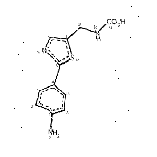 Nc1ccc(-c2ncc(CNC(=O)O)s2)cc1